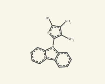 Nc1c(Br)sc(-n2c3ccccc3c3ccccc32)c1N